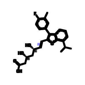 Cc1cc(-c2c(/C=C/[C@@H](O)C[C@@H](O)CC(=O)O)oc3c(C(C)C)cccc23)ccc1F